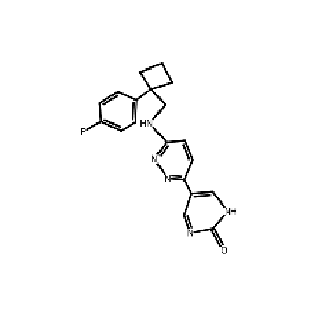 O=c1ncc(-c2ccc(NCC3(c4ccc(F)cc4)CCC3)nn2)c[nH]1